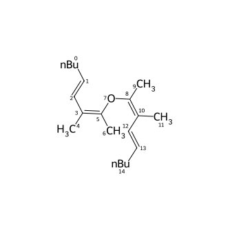 CCCCC=CC(C)=C(C)OC(C)=C(C)C=CCCCC